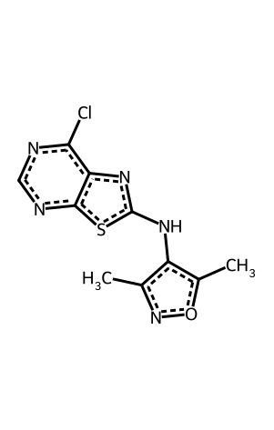 Cc1noc(C)c1Nc1nc2c(Cl)ncnc2s1